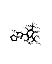 CC(OC(=O)c1c(S)c(C(C)(C)C)c(O)c(C(C)(C)C)c1S)[N+]1([O-])CCCC1